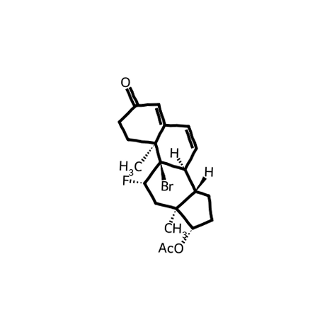 CC(=O)O[C@H]1CC[C@H]2[C@@H]3C=CC4=CC(=O)CC[C@]4(C)[C@@]3(Br)[C@@H](F)C[C@]12C